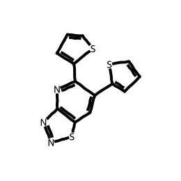 c1csc(-c2cc3snnc3nc2-c2cccs2)c1